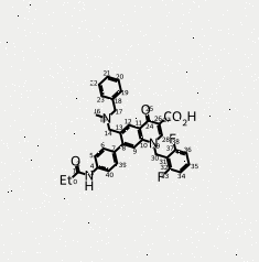 CCC(=O)Nc1ccc(-c2cc3c(cc2CN(C)Cc2ccccc2)c(=O)c(C(=O)O)cn3Cc2c(F)cccc2F)cc1